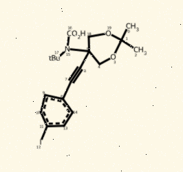 CC1(C)OCC(C#Cc2ccc(I)cc2)(N(C(=O)O)C(C)(C)C)CO1